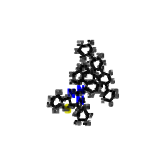 c1ccc(-c2ccc3c(c2)C2(c4cc(-c5ccccc5)ccc4-3)c3cccc4ccc5c(c34)c3c2cccc3n5-c2nc(-c3ccccc3)c3sc4ccccc4c3n2)cc1